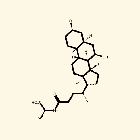 CC(C)[C@H](NC(=O)CC[C@@H](C)[C@H]1CC[C@H]2[C@@H]3[C@H](O)C[C@@H]4C[C@H](O)CC[C@]4(C)[C@H]3CC[C@]12C)C(=O)O